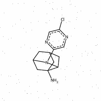 NC12CC3CC(C1)N(c1cnc(Cl)cn1)C2C3